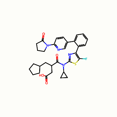 O=C(O)CC(CC1CCCC1)C(=O)N(c1nc(-c2ccccc2-c2ccc(N3CCCC3=O)nc2)c(F)s1)C1CC1